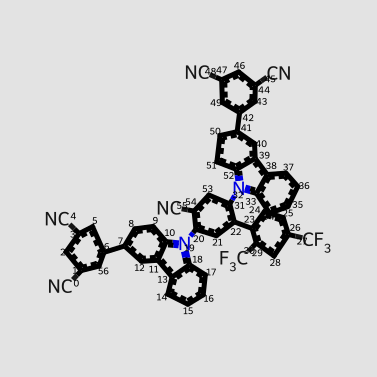 N#Cc1cc(C#N)cc(-c2ccc3c(c2)c2ccccc2n3-c2cc(-c3ccc(C(F)(F)F)cc3C(F)(F)F)c(-n3c4ccccc4c4cc(-c5cc(C#N)cc(C#N)c5)ccc43)cc2C#N)c1